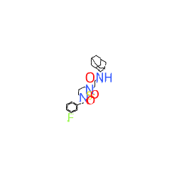 O=C(CN1CCCN(Cc2cccc(F)c2)S1(=O)=O)NC1C2CC3CC(C2)CC1C3